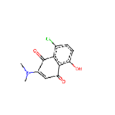 CN(C)C1=CC(=O)c2c(O)ccc(Cl)c2C1=O